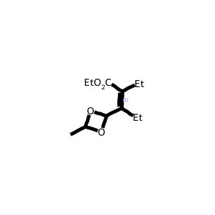 CCOC(=O)/C(CC)=C(/CC)C1OC(C)O1